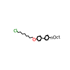 CCCCCCCCc1ccc(-c2ccc(OCCCCCCCCCl)cc2)cc1